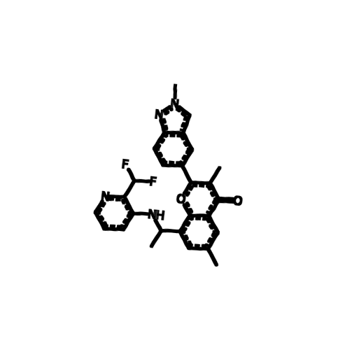 Cc1cc(C(C)Nc2cccnc2C(F)F)c2oc(-c3ccc4nn(C)cc4c3)c(C)c(=O)c2c1